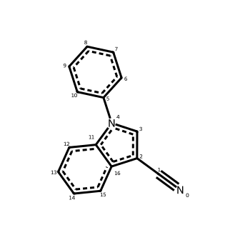 N#Cc1cn(-c2ccccc2)c2ccccc12